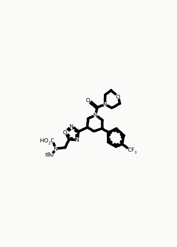 CC(C)(C)N(Cc1nc(C2CC(c3ccc(C(F)(F)F)cc3)CN(C(=O)N3CCOCC3)C2)no1)C(=O)O